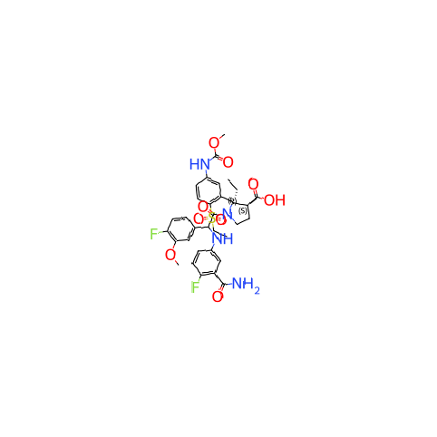 CC[C@]1(c2cc(NC(=O)OC)ccc2S(=O)(=O)CC)[C@@H](C(=O)O)CCN1C(=O)C(Nc1ccc(F)c(C(N)=O)c1)c1ccc(F)c(OC)c1